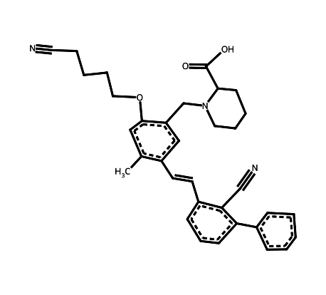 Cc1cc(OCCCCC#N)c(CN2CCCCC2C(=O)O)cc1/C=C/c1cccc(-c2ccccc2)c1C#N